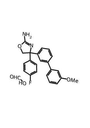 COc1cccc(-c2cccc(C3(c4ccc(F)cc4)COC(N)=N3)c2)c1.O=CO